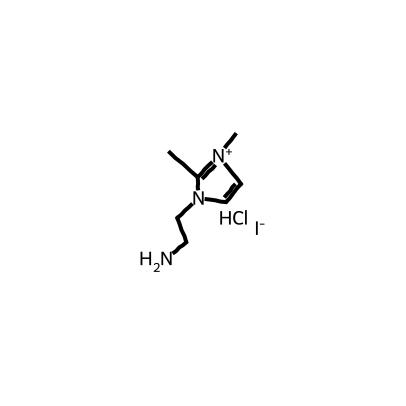 Cc1n(CCN)cc[n+]1C.Cl.[I-]